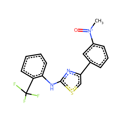 C[N+](=O)c1cccc(-c2csc(Nc3ccccc3C(F)(F)F)n2)c1